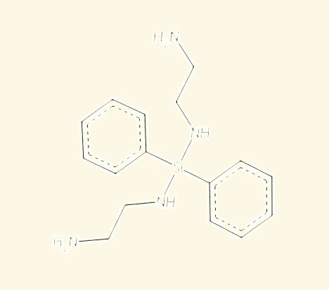 NCCN[Si](NCCN)(c1ccccc1)c1ccccc1